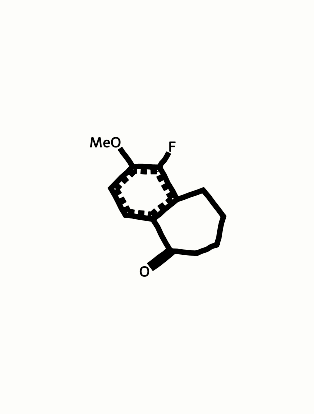 COc1ccc2c(c1F)CCCCC2=O